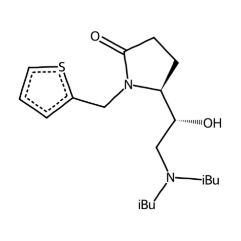 CCC(C)N(C[C@@H](O)[C@@H]1CCC(=O)N1Cc1cccs1)C(C)CC